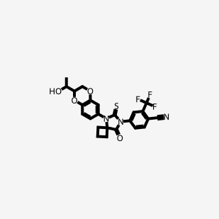 CC(O)C1COc2cc(N3C(=S)N(c4ccc(C#N)c(C(F)(F)F)c4)C(=O)C34CCC4)ccc2O1